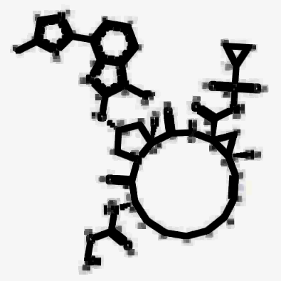 Cc1cnc(-c2cccc3c2nc(O[C@@H]2C[C@H]4C(=O)N[C@]5(C(=O)NS(=O)(=O)C6CC6)C[C@H]5/C=C\CCCCC[C@H](NC(=O)OC(C)(C)C)C(=O)N4C2)n3C(C)C)s1